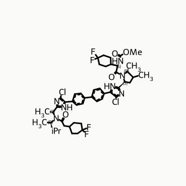 COC(=O)N[C@H](C(=O)N1[C@H](C)C(C)C[C@H]1c1nc(Cl)c(-c2ccc(-c3ccc(-c4[nH]c([C@H](C)N(C(=O)CC5CCC(F)(F)CC5)[C@H](C)C(C)C)nc4Cl)cc3)cc2)[nH]1)C1CCC(F)(F)CC1